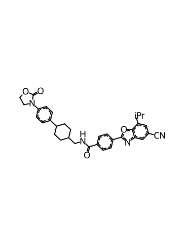 CC(C)c1cc(C#N)cc2nc(-c3ccc(C(=O)NCC4CCC(c5ccc(N6CCOC6=O)cc5)CC4)cc3)oc12